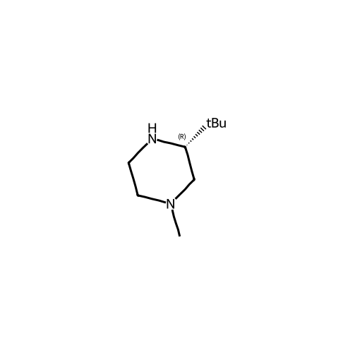 CN1CCN[C@H](C(C)(C)C)C1